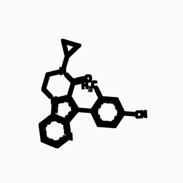 Cc1cc(C#N)ccc1-c1c2n(c3cccnc13)CCN(C1CC1)C2=O